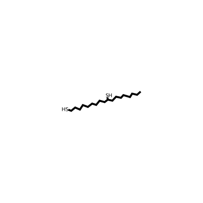 CCCCCCCCC(S)CCCCCCCCCS